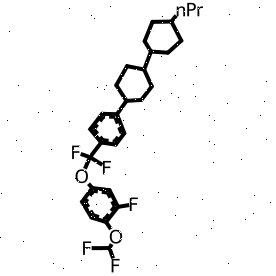 CCCC1CCC(C2CCC(c3ccc(C(F)(F)Oc4ccc(OC(F)F)c(F)c4)cc3)CC2)CC1